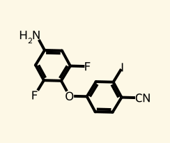 N#Cc1ccc(Oc2c(F)cc(N)cc2F)cc1I